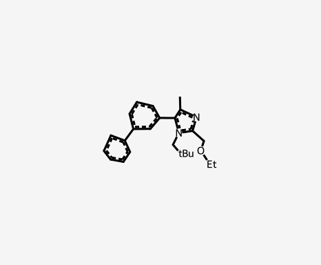 CCOCc1nc(C)c(-c2cccc(-c3ccccc3)c2)n1CC(C)(C)C